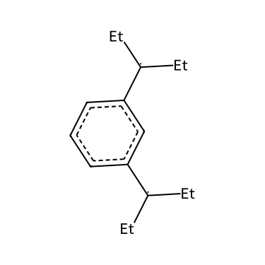 CC[C](CC)c1cccc([C](CC)CC)c1